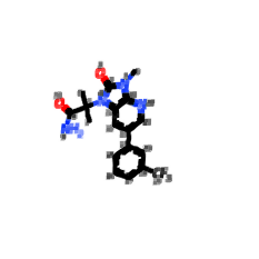 Cn1c(=O)n(C(C)(C)C(N)=O)c2cc(-c3cccc(C(F)(F)F)c3)cnc21